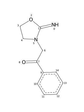 N=C1OCCN1CC(=O)c1ccccc1